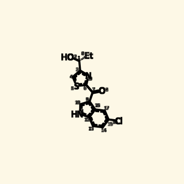 CC[C@@H](O)c1csc(C(=O)c2c[nH]c3ccc(Cl)cc23)n1